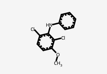 COc1ccc(Cl)c(Nc2ccccc2)c1Cl